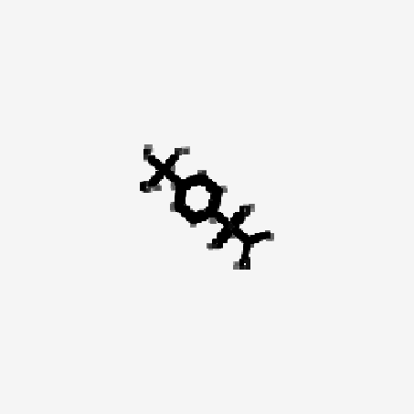 CC(Cl)S(=O)(=O)c1ccc(C(F)(F)Cl)cc1